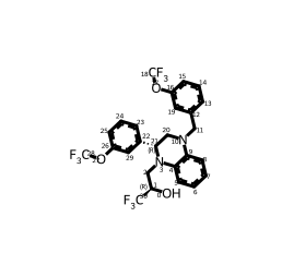 O[C@H](CN1c2ccccc2N(Cc2cccc(OC(F)(F)F)c2)C[C@H]1c1cccc(OC(F)(F)F)c1)C(F)(F)F